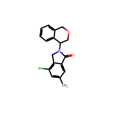 Cc1cc(Br)c2c(c1)C(=O)N(C1COCc3ccccc31)C2